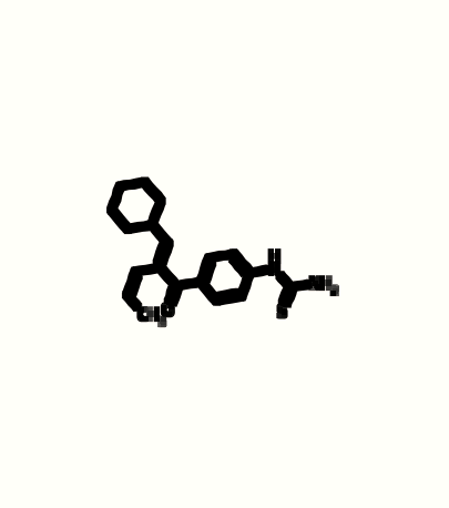 C/C=C\C(=C/C1CCCCC1)C(=O)c1ccc(NC(N)=S)cc1